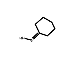 [NH]N=C1CCCCC1